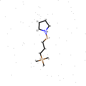 CS(C)(C)CCCSN1CCCC1